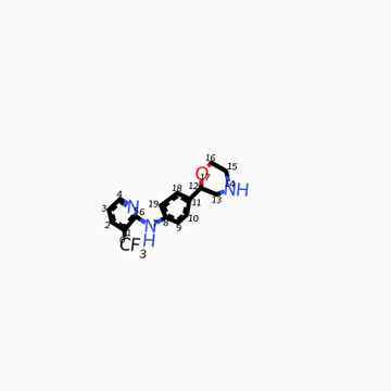 FC(F)(F)c1cccnc1Nc1ccc(C2CNCCO2)cc1